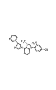 N#Cc1ccc(-n2cc(C(F)(F)F)c3c(-n4cnc(-c5cccnc5)c4)cccc32)c(N)c1